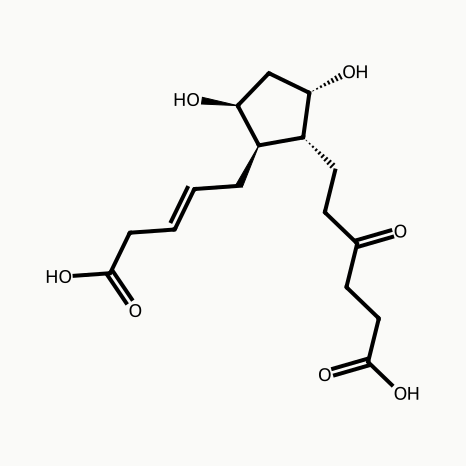 O=C(O)C/C=C/C[C@@H]1[C@@H](CCC(=O)CCC(=O)O)[C@@H](O)C[C@@H]1O